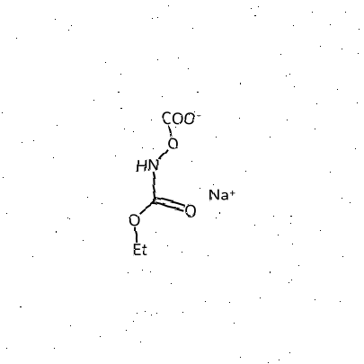 CCOC(=O)NOC(=O)[O-].[Na+]